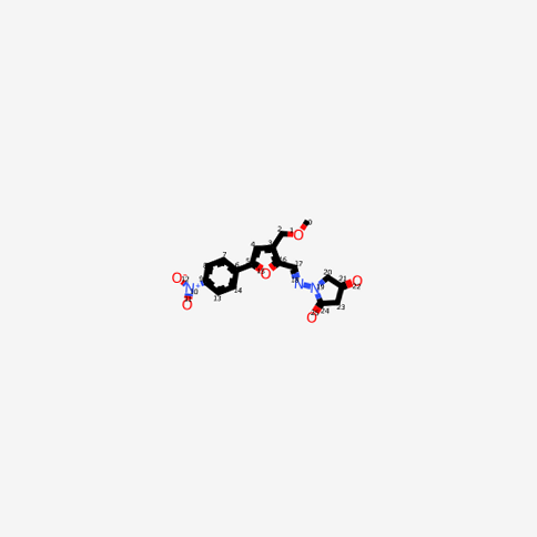 COCc1cc(-c2ccc([N+](=O)[O-])cc2)oc1/C=N/N1CC(=O)CC1=O